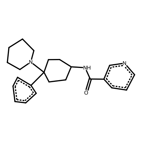 O=C(NC1CCC(c2ccccc2)(N2CCCCC2)CC1)c1cccnc1